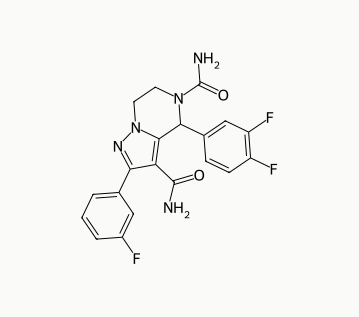 NC(=O)c1c(-c2cccc(F)c2)nn2c1C(c1ccc(F)c(F)c1)N(C(N)=O)CC2